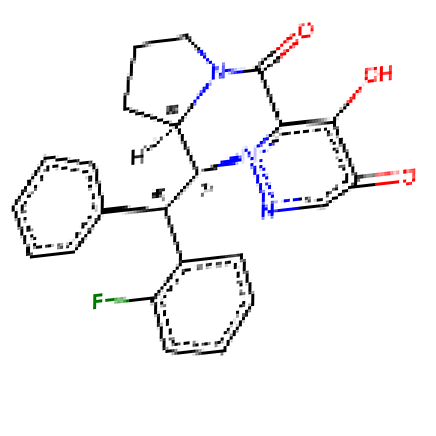 O=C1c2c(O)c(=O)cnn2[C@@H]([C@H](c2ccccc2)c2ccccc2F)[C@H]2CCCN12